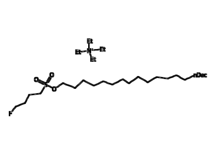 CCCCCCCCCCCCCCCCCCCCCCCCOS(=O)(=O)CCCCF.CC[N+](CC)(CC)CC